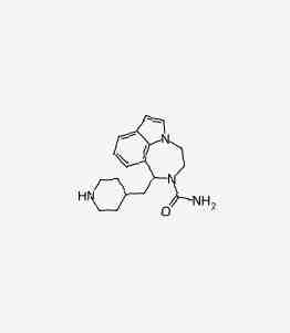 NC(=O)N1CCn2ccc3cccc(c32)C1CC1CCNCC1